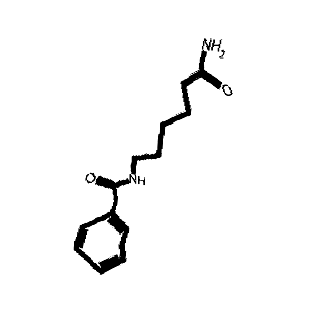 NC(=O)CCCCCNC(=O)c1ccccc1